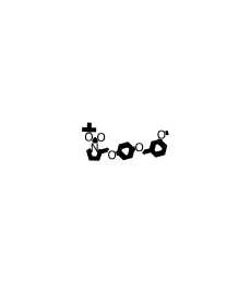 COc1cccc(COc2ccc(OCC3CCCN3C(=O)OC(C)(C)C)cc2)c1